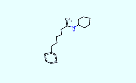 C=C(CCCCCc1ccccc1)NC1CCCCC1